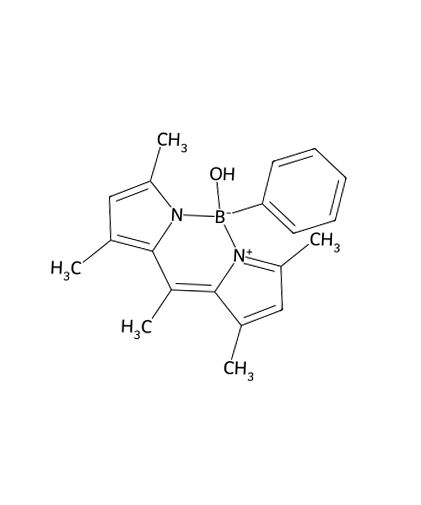 CC1=CC(C)=[N+]2C1=C(C)c1c(C)cc(C)n1[B-]2(O)c1ccccc1